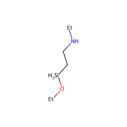 CCNCC[SiH2]OCC